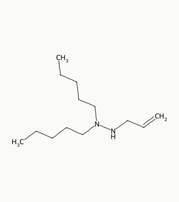 C=CCNN(CCCCC)CCCCC